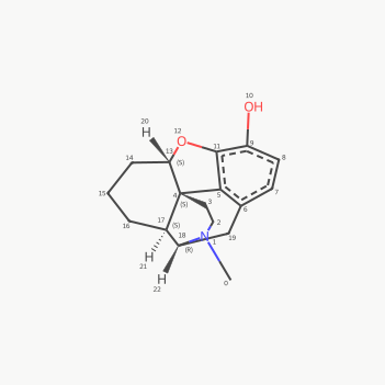 CN1CC[C@]23c4c5ccc(O)c4O[C@H]2CCC[C@@H]3[C@H]1C5